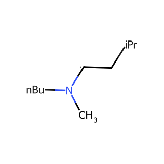 CCCCN(C)[CH]CC(C)C